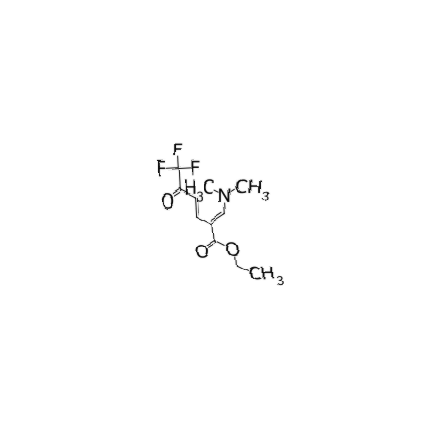 CCOC(=O)C(C=CC(=O)C(F)(F)F)=CN(C)C